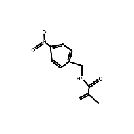 C=C(C)C(=O)NCc1ccc([N+](=O)[O-])cc1